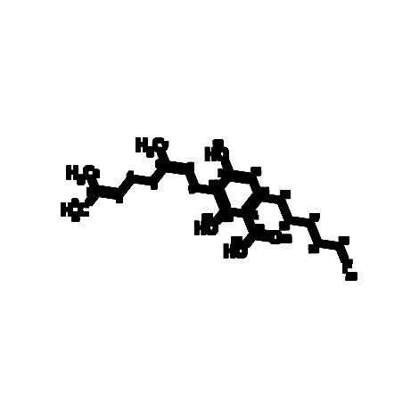 CC(C)=CCCC(C)=CCc1c(O)cc(CCCCCF)c(C(=O)O)c1O